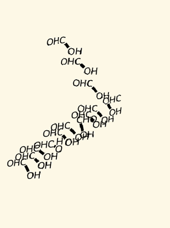 O=CO.O=CO.O=CO.O=CO.O=CO.O=CO.O=CO.O=CO.O=CO.O=CO.O=CO.O=CO.O=CO